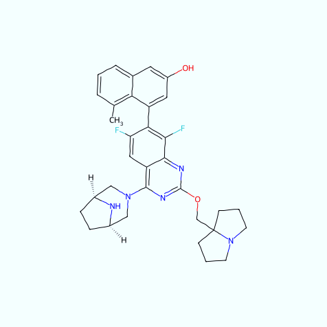 Cc1cccc2cc(O)cc(-c3c(F)cc4c(N5C[C@H]6CC[C@@H](C5)N6)nc(OCC56CCCN5CCC6)nc4c3F)c12